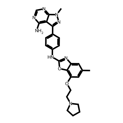 Cc1cc(OCCN2CCCC2)c2oc(Nc3ccc(-c4nn(C)c5ncnc(N)c45)cc3)nc2c1